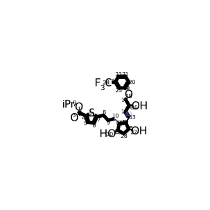 CC(C)OC(=O)c1ccc(CCC[C@@H]2[C@@H](/C=C/[C@@H](O)COc3cccc(C(F)(F)F)c3)[C@H](O)C[C@@H]2O)s1